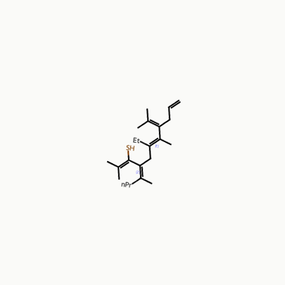 C=CCC(=C(C)C)/C(C)=C(\CC)C/C(C(S)=C(C)C)=C(\C)CCC